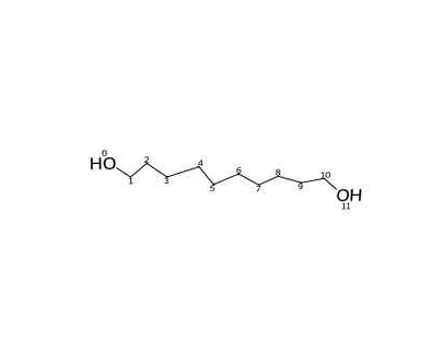 OCCCCCCCCCCO